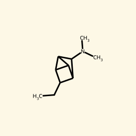 CCC1C2C3C1C(N(C)C)C23